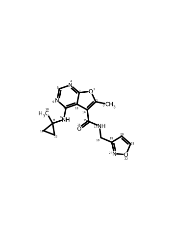 Cc1oc2ncnc(NC3(C)CC3)c2c1C(=O)NCc1ccon1